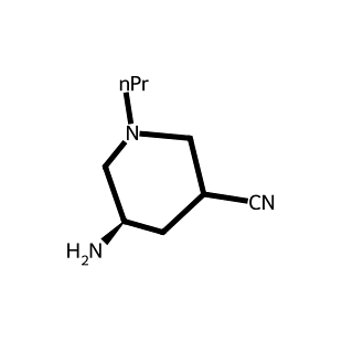 CCCN1CC(C#N)C[C@@H](N)C1